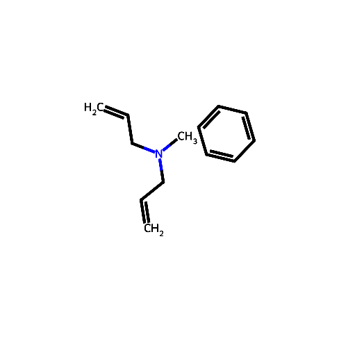 C=CCN(C)CC=C.c1ccccc1